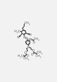 C=C(C)C(=O)OCCN(CCOC(=O)C(=C)C)c1ccc(/N=N/C2=C(C#N)C=C(CCCC)C(C)C2C#N)c(NC(C)=O)c1